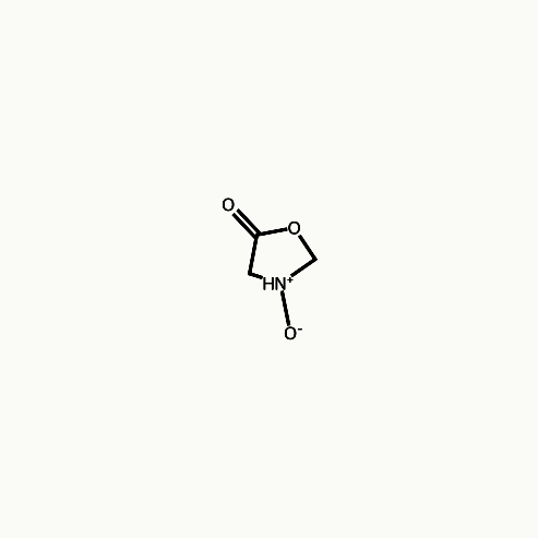 O=C1C[NH+]([O-])CO1